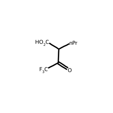 CCCC(C(=O)O)C(=O)C(F)(F)F